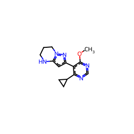 COc1ncnc(C2CC2)c1-c1cc2n(n1)CCCN2